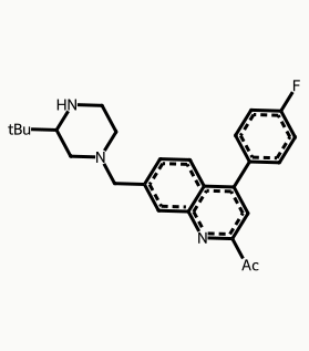 CC(=O)c1cc(-c2ccc(F)cc2)c2ccc(CN3CCNC(C(C)(C)C)C3)cc2n1